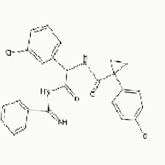 N=C(NC(=O)C(NC(=O)C1(c2ccc(Cl)cc2)CC1)c1cccc(Cl)c1)c1ccccc1